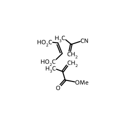 C=C(C)C#N.C=C(C)C(=O)OC.O=C(O)/C=C\C(=O)O